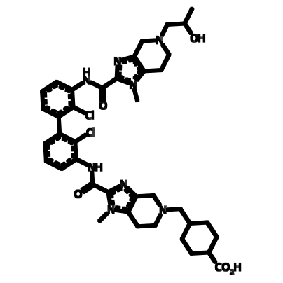 CC(O)CN1CCc2c(nc(C(=O)Nc3cccc(-c4cccc(NC(=O)c5nc6c(n5C)CCN(CC5CCC(C(=O)O)CC5)C6)c4Cl)c3Cl)n2C)C1